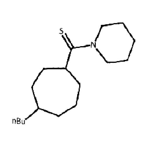 CCCCC1CCCC(C(=S)N2CCCCC2)CC1